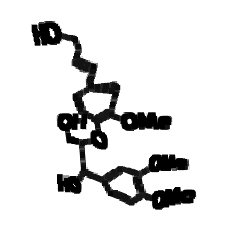 COc1ccc(C(O)[C@@H](CO)Oc2ccc(/C=C/CO)cc2OC)cc1OC